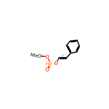 COO[PH](=O)O/C=C/c1ccccc1